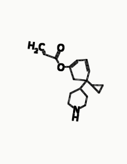 C=CC(=O)OC1=CC=CC(C2CCNCC2)(C2CC2)C1